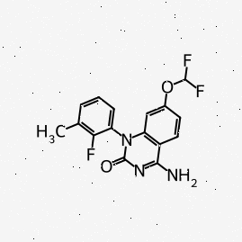 Cc1cccc(-n2c(=O)nc(N)c3ccc(OC(F)F)cc32)c1F